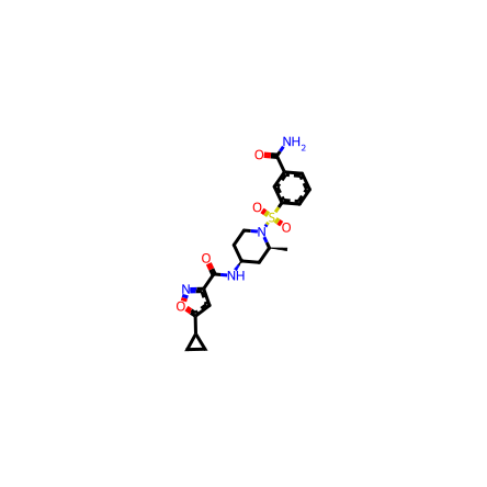 C[C@H]1C[C@@H](NC(=O)c2cc(C3CC3)on2)CCN1S(=O)(=O)c1cccc(C(N)=O)c1